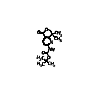 CC(C)(C)OC(=O)Nc1ccc2c(n1)C(C)(C)COC2=O